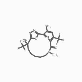 CN1CCCCCC(O)(C(F)(F)F)c2nnc(o2)-c2nc(c(C(F)(F)F)cc2N)C1=O